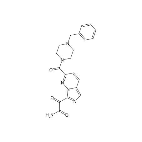 NC(=O)C(=O)c1ncc2ccc(C(=O)N3CCN(Cc4ccccc4)CC3)nn12